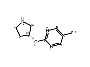 Fc1cnc(O[C@@H]2CCNC2)nc1